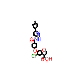 Cc1ccc(-c2ccc(NC(=O)c3ccc(Oc4cc5c(cc4Cl)C(C(=O)O)CCO5)cc3)nn2)cc1